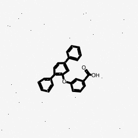 O=C(O)c1cccc(Oc2cc(-c3ccccc3)ccc2-c2ccccc2)c1